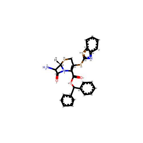 NC1C(=O)N2C(C(=O)OC(c3ccccc3)c3ccccc3)=C(Sc3nc4ccccc4s3)CS[C@@H]12